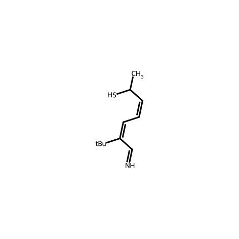 CC(S)/C=C\C=C(/C=N)C(C)(C)C